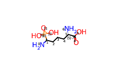 NC(CCC[C@H](N)C(=O)O)P(=O)(O)O